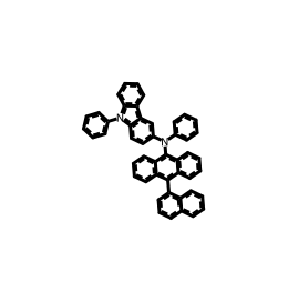 c1ccc(N(c2ccc3c(c2)c2ccccc2n3-c2ccccc2)c2c3ccccc3c(-c3cccc4ccccc34)c3ccccc23)cc1